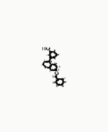 Oc1cccc(C2=CCCc3cc(OCc4ccccc4)ccc32)c1